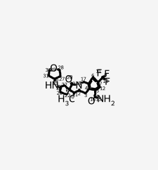 CC1C2Cc3c(cc(C(F)(F)F)cc3C(N)=O)CN2C(=O)[C@]12CC[C@@H](NC1CCOCC1)C2